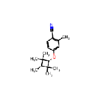 Cc1cc(O[C@H]2C(C)(C)[C@H](C)C2(C)C)ccc1C#N